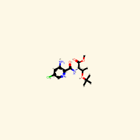 COC(=O)[C@@H](NC(=O)c1ncc(Cl)cc1N)C(C)OC(C)(C)C